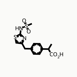 CC(C(=O)O)c1ccc(Cc2csc(NS(C)(=O)=O)n2)cc1